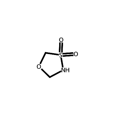 O=S1(=O)COCN1